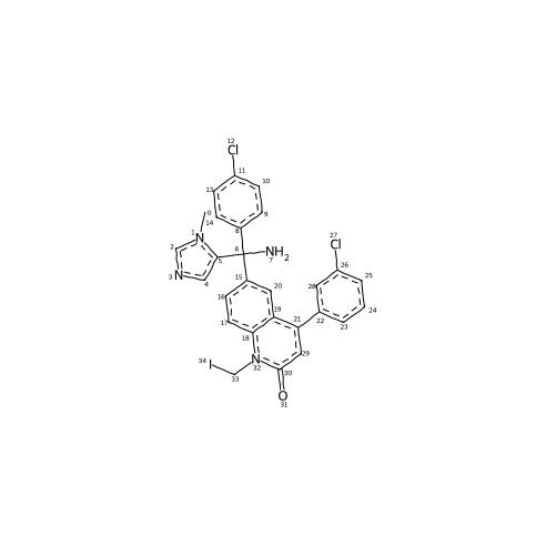 Cn1cncc1C(N)(c1ccc(Cl)cc1)c1ccc2c(c1)c(-c1cccc(Cl)c1)cc(=O)n2CI